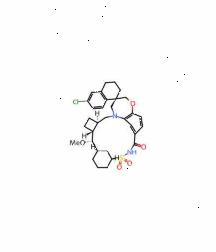 CO[C@H]1[C@@H]2CCC[C@H](C2)S(=O)(=O)NC(=O)c2ccc3c(c2)N(C[C@@H]2CC[C@H]21)C[C@@]1(CCCc2cc(Cl)ccc21)CO3